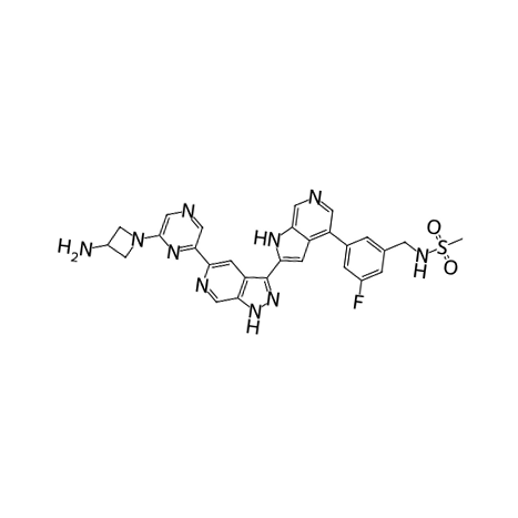 CS(=O)(=O)NCc1cc(F)cc(-c2cncc3[nH]c(-c4n[nH]c5cnc(-c6cncc(N7CC(N)C7)n6)cc45)cc23)c1